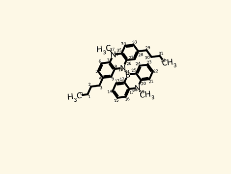 CCCCc1ccc2c(c1)N(B1c3ccccc3N(C)c3ccccc31)c1cc(CCCC)ccc1N2C